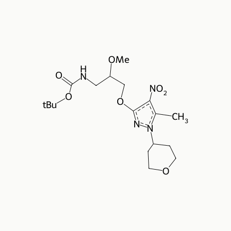 COC(CNC(=O)OC(C)(C)C)COc1nn(C2CCOCC2)c(C)c1[N+](=O)[O-]